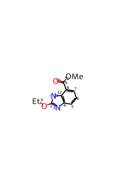 CCOC1=Nc2cccc(C(=O)OC)c2[N]1